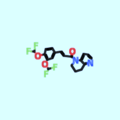 O=C(/C=C/c1ccc(OC(F)F)c(OC(F)F)c1)N1CCCc2ncccc21